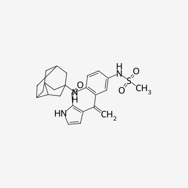 C=C(c1cc(NS(C)(=O)=O)ccc1NC12CC3CC4CC(C3)(C1)C4C2)c1cc[nH]c1C=O